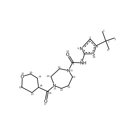 CC(C)(C)c1cnc(NC(=O)N2CCCN(C(=O)C3CCOCC3)CC2)s1